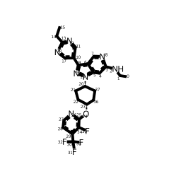 CCNc1cc2c(cn1)c(-c1cnc(CC)nc1)nn2[C@H]1CC[C@@H](Oc2nccc(C(F)(F)F)c2F)CC1